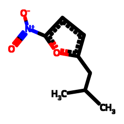 CC(C)Cc1ccc([N+](=O)[O-])o1